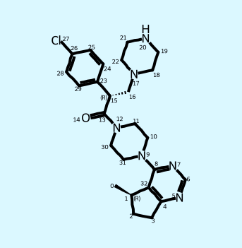 C[C@@H]1CCc2ncnc(N3CCN(C(=O)[C@@H](CN4CCNCC4)c4ccc(Cl)cc4)CC3)c21